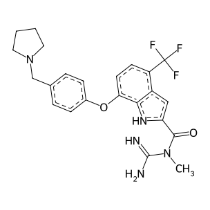 CN(C(=N)N)C(=O)c1cc2c(C(F)(F)F)ccc(Oc3ccc(CN4CCCC4)cc3)c2[nH]1